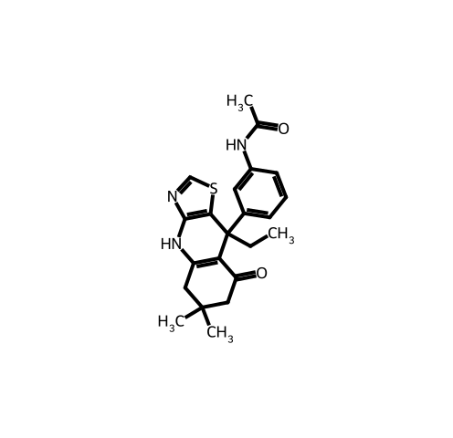 CCC1(c2cccc(NC(C)=O)c2)C2=C(CC(C)(C)CC2=O)Nc2ncsc21